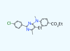 CCOC(=O)c1ccc(N(C)c2nc(-c3ccc(Cl)cc3)nc(C)c2CC)cc1